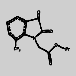 CC(C)OC(=O)CN1C(=O)C(=O)c2cccc(C(F)(F)F)c21